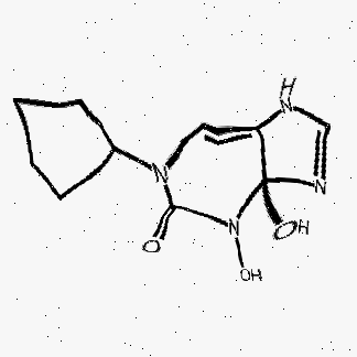 O=C1N(C2CCCC2)C=C2NC=NC2(O)N1O